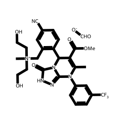 COC(=O)C1=C(C)N(c2cccc(C(F)(F)F)c2)c2n[nH]c(=O)n2C1c1ccc(C#N)cc1C[N+](C)(CCO)CCO.O=C[O-]